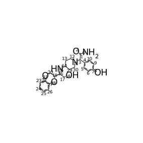 NC(=O)C(c1ccc(O)cc1)N1CCC(NC(CO)C2COc3ccccc3O2)CC1